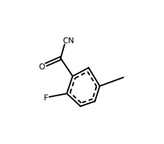 Cc1ccc(F)c(C(=O)C#N)c1